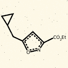 CCOC(=O)c1cc(CC2CC2)on1